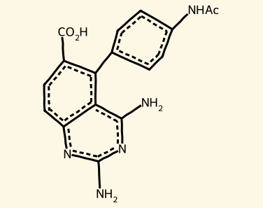 CC(=O)Nc1ccc(-c2c(C(=O)O)ccc3nc(N)nc(N)c23)cc1